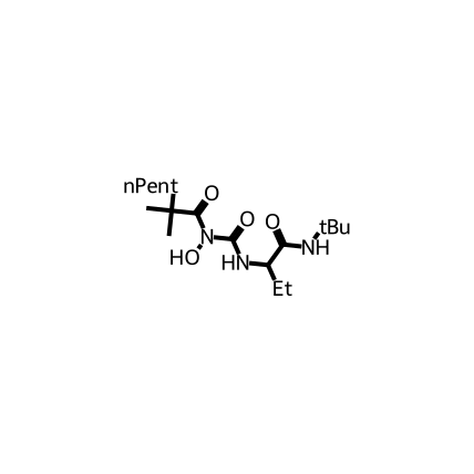 CCCCCC(C)(C)C(=O)N(O)C(=O)NC(CC)C(=O)NC(C)(C)C